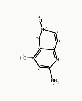 Nc1cc(O)c2c(n1)C=CN(Cl)C2